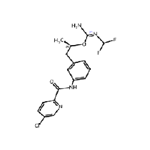 C[C@H](Cc1cccc(NC(=O)c2ccc(Cl)cn2)c1)O/C(N)=N\C(F)F